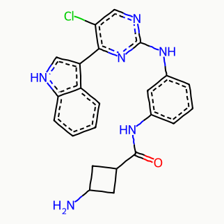 NC1CC(C(=O)Nc2cccc(Nc3ncc(Cl)c(-c4c[nH]c5ccccc45)n3)c2)C1